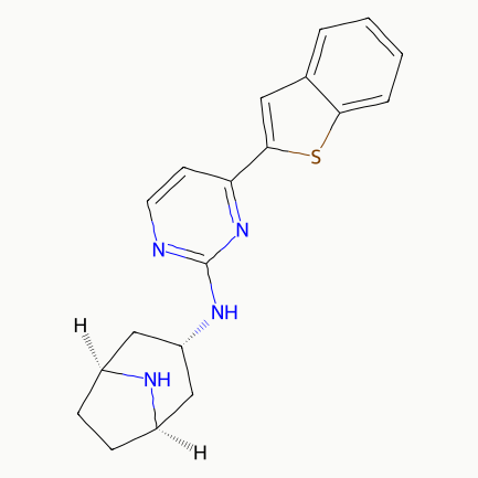 c1ccc2sc(-c3ccnc(N[C@@H]4C[C@H]5CC[C@@H](C4)N5)n3)cc2c1